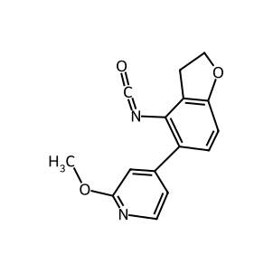 COc1cc(-c2ccc3c(c2N=C=O)CCO3)ccn1